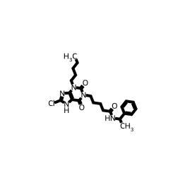 CCCCCn1c(=O)n(CCCCC(=O)NC(C)c2ccccc2)c(=O)c2[nH]c(Cl)nc21